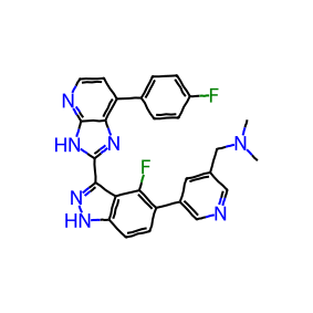 CN(C)Cc1cncc(-c2ccc3[nH]nc(-c4nc5c(-c6ccc(F)cc6)ccnc5[nH]4)c3c2F)c1